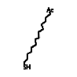 CC(=O)CCCCCCCCCCCCCCS